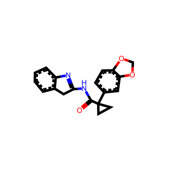 O=C(NC1=Nc2ccccc2C1)C1(c2ccc3c(c2)OCO3)CC1